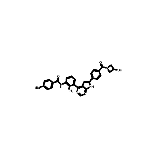 Cc1c(NC(=O)c2ccc(C(C)(C)C)cc2)cccc1-c1ncnc2[nH]c(-c3ccc(C(=O)N4CC(O)C4)cc3)cc12